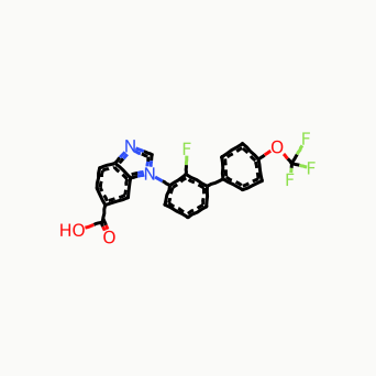 O=C(O)c1ccc2ncn(-c3cccc(-c4ccc(OC(F)(F)F)cc4)c3F)c2c1